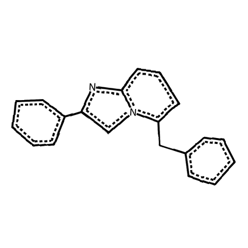 c1ccc(Cc2cccc3nc(-c4ccccc4)cn23)cc1